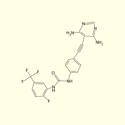 Nc1ncnc(N)c1C#Cc1ccc(NC(=O)Nc2cc(C(F)(F)F)ccc2F)cc1